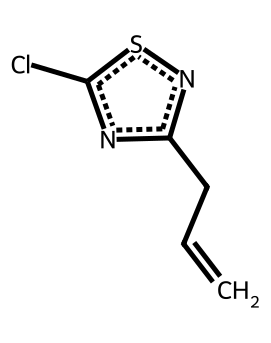 C=CCc1nsc(Cl)n1